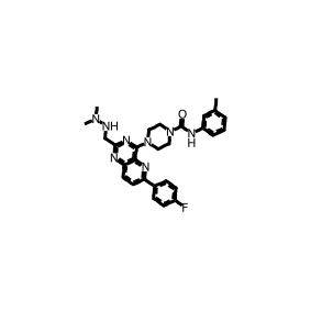 Cc1cccc(NC(=O)N2CCN(c3nc(CNN(C)C)nc4ccc(-c5ccc(F)cc5)nc34)CC2)c1